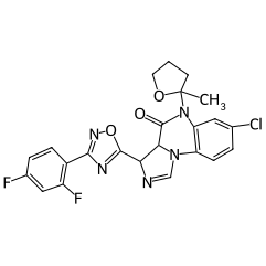 CC1(N2C(=O)C3C(c4nc(-c5ccc(F)cc5F)no4)N=CN3c3ccc(Cl)cc32)CCCO1